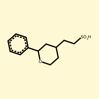 O=S(=O)(O)CCC1CCOC(c2ccccc2)C1